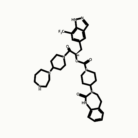 O=C(O[C@H](Cc1cc(C(F)(F)F)c2[nH]ncc2c1)C(=O)N1CCC(N2CCCNCC2)CC1)N1CCC(N2CCc3ccccc3NC2=O)CC1